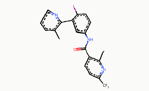 Cc1cccnc1-c1cc(NC(=O)c2ccc(C(F)(F)F)nc2C)ccc1I